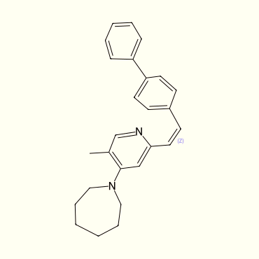 Cc1cnc(/C=C\c2ccc(-c3ccccc3)cc2)cc1N1CCCCCC1